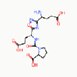 N[C@@H](CCC(=O)O)c1noc([C@H](CCC(=O)O)NC(=O)N2CCCC2C(=O)O)n1